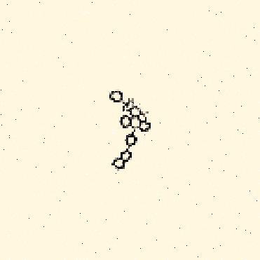 c1ccc(-c2nc3cc4oc5cccc(N(c6ccccc6)c6ccc(-c7ccc8ccccc8c7)cc6)c5c4cc3o2)cc1